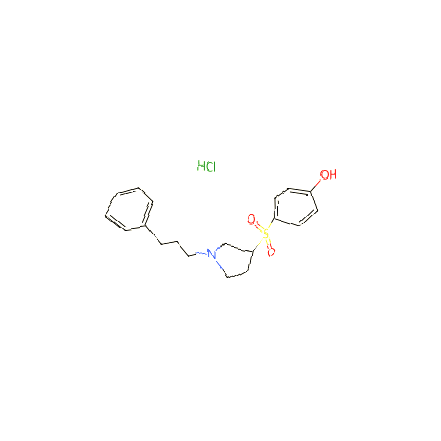 Cl.O=S(=O)(c1ccc(O)cc1)C1CCN(CCCc2ccccc2)C1